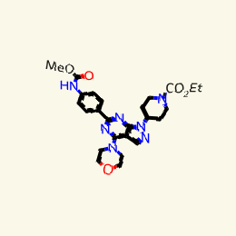 CCOC(=O)N1CCC(n2ncc3c(N4CCOCC4)nc(-c4ccc(NC(=O)OC)cc4)nc32)CC1